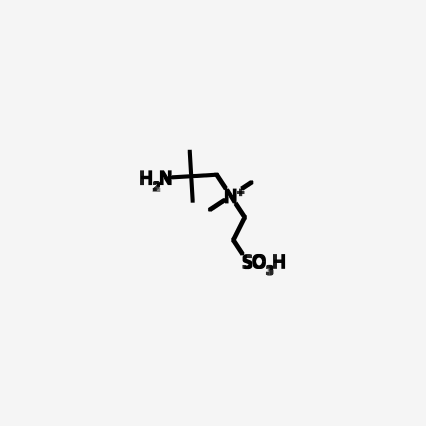 CC(C)(N)C[N+](C)(C)CCS(=O)(=O)O